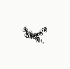 C=CC1=C(C(=O)OCOC(=O)C(C)(C)C)N2C(=O)C(NC(=O)C(=NOCC(=O)OCOC(=O)C(C)(C)C)c3csc(N)n3)[C@@H]2SC1